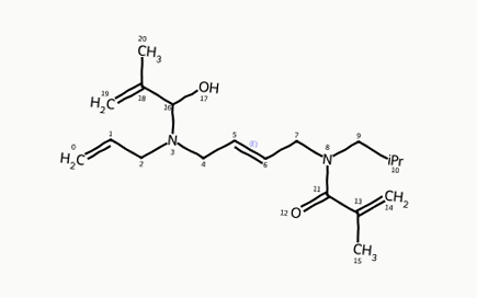 C=CCN(C/C=C/CN(CC(C)C)C(=O)C(=C)C)C(O)C(=C)C